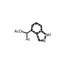 CC(=O)OC(C(C)=O)c1cccc2[nH]ncc12